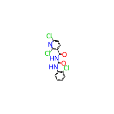 O=C(NC(=O)c1ccc(Cl)nc1Cl)Nc1ccccc1Cl